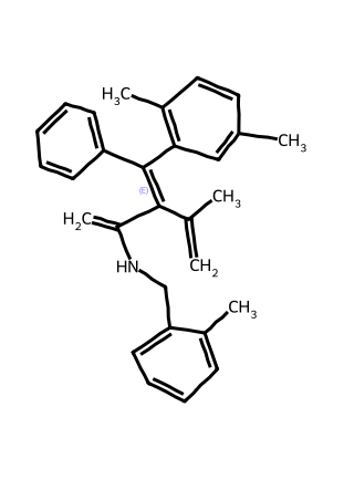 C=C(C)/C(C(=C)NCc1ccccc1C)=C(/c1ccccc1)c1cc(C)ccc1C